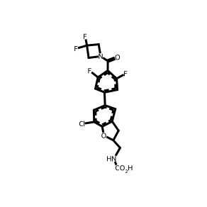 O=C(O)NCC1Cc2cc(-c3cc(F)c(C(=O)N4CC(F)(F)C4)c(F)c3)cc(Cl)c2O1